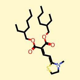 CCCCC(CC)COC(=O)C(=C/C=C1\SCCN1C)C(=O)OCC(CC)CCCC